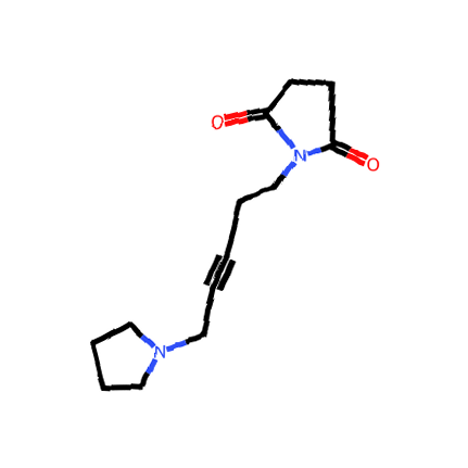 O=C1CCC(=O)N1CCC#CCN1CCCC1